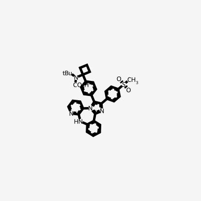 CC(C)(C)N(C(=O)O)C1(c2ccc(-c3c(-c4ccc(S(C)(=O)=O)cc4)nc4n3-c3cccnc3Nc3ccccc3-4)cc2)CCC1